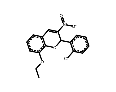 CCOc1cccc2c1OC(c1ccccc1Cl)C([N+](=O)[O-])=C2